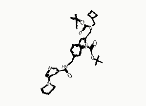 CC(C)(C)OC(=O)N(Cc1cc2ccc(CNC(=O)c3cncc(N4CCCC4)c3)cc2n1C(=O)OC(C)(C)C)CC1CCC1